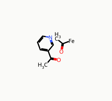 CC(=O)c1cccnc1.C[C](=O)[Fe]